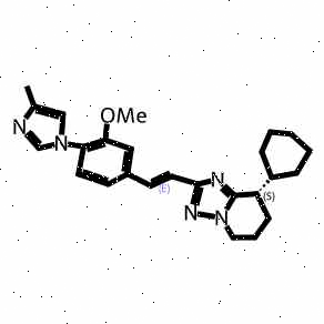 COc1cc(/C=C/c2nc3n(n2)CCC[C@H]3C2CCCCC2)ccc1-n1cnc(C)c1